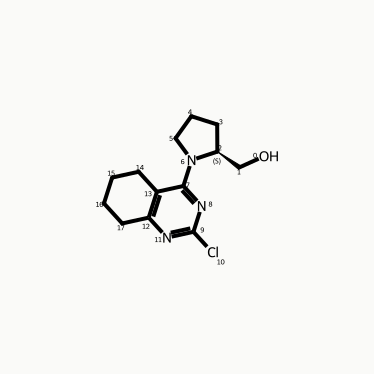 OC[C@@H]1CCCN1c1nc(Cl)nc2c1CCCC2